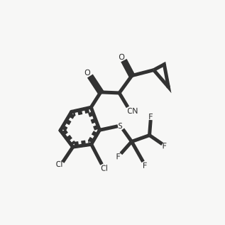 N#CC(C(=O)c1ccc(Cl)c(Cl)c1SC(F)(F)C(F)F)C(=O)C1CC1